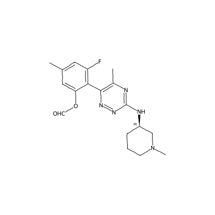 Cc1cc(F)c(-c2nnc(N[C@@H]3CCCN(C)C3)nc2C)c(OC=O)c1